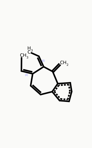 C=C1C(=C/C)/C(=C\C)C=Cc2ccccc21